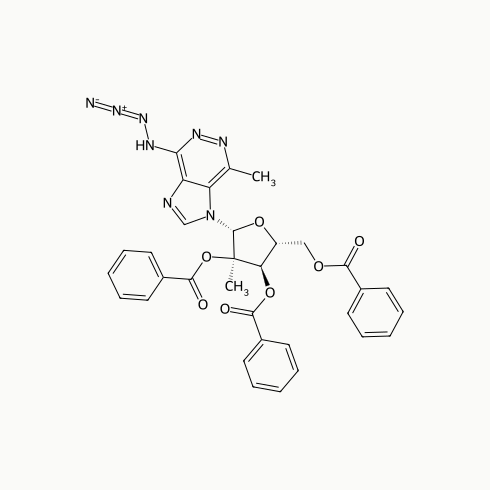 Cc1nnc(NN=[N+]=[N-])c2ncn([C@@H]3O[C@H](COC(=O)c4ccccc4)[C@@H](OC(=O)c4ccccc4)[C@@]3(C)OC(=O)c3ccccc3)c12